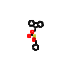 O=C(OCC1c2ccccc2-c2ccccc21)SOCc1ccccc1